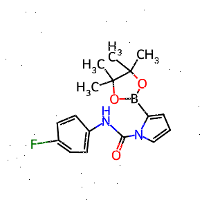 CC1(C)OB(c2cccn2C(=O)Nc2ccc(F)cc2)OC1(C)C